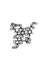 CCC1O[C@H](O[C@@H]2C(O)C(O[C@H]3OC(CNC(=O)OC(C)(C)C)CCC3NC(=O)OC(C)(C)C)[C@H](NC(=O)OC(C)(C)C)C[C@H]2NC(=O)[C@H](CCNC(=O)OC(C)(C)C)OC(C)=O)C(OC(C)=O)[C@@H](NC(=O)OC(C)(C)C)[C@H]1Cl